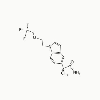 C=C(C(N)=O)c1ccc2c(ccn2CCOCC(F)(F)F)c1